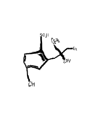 CCC(O)(O)c1cc(O)ccc1S(=O)(=O)O